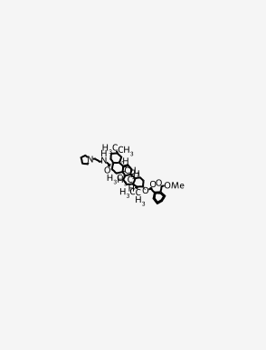 COC(=O)c1ccccc1C(=O)O[C@H]1CC[C@]2(C)[C@H]3CC=C4[C@@H]5CC(C)(C)CC[C@]5(C(=O)NCCN5CCCC5)CC[C@@]4(C)[C@]3(C)CC[C@H]2C1(C)C